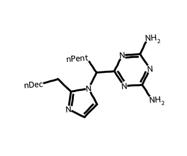 CCCCCCCCCCCc1nccn1C(CCCCC)c1nc(N)nc(N)n1